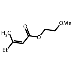 CC/C(C)=C/C(=O)OCCOC